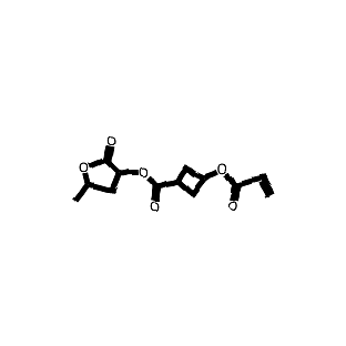 C=CC(=O)OC1CC(C(=O)OC2CC(C)OC2=O)C1